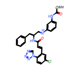 COC(=O)Nc1cccc(NCC(Cc2ccccc2)NC(=O)C=Cc2cc(Cl)ccc2-n2cnnn2)c1